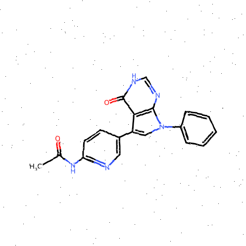 CC(=O)Nc1ccc(-c2cn(-c3ccccc3)c3nc[nH]c(=O)c23)cn1